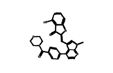 Cn1cc(C=C2Oc3cccc(O)c3C2=O)c2c(-c3ccc(C(=O)N4CCOCC4)cc3)ccnc21